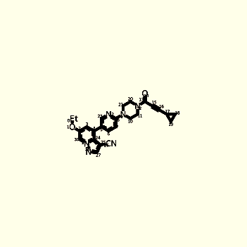 CCOc1cc(-c2ccc(N3CCN(C(=O)C#CC4CC4)CC3)nc2)c2c(C#N)cnn2c1